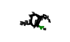 CC(C)C1CC2CC(F)C1CC2C